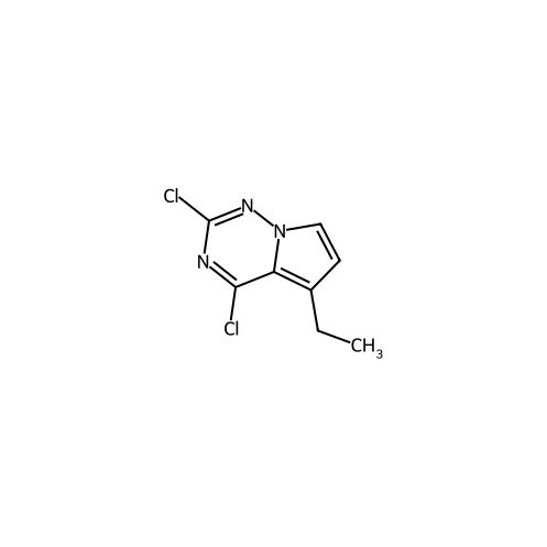 CCc1ccn2nc(Cl)nc(Cl)c12